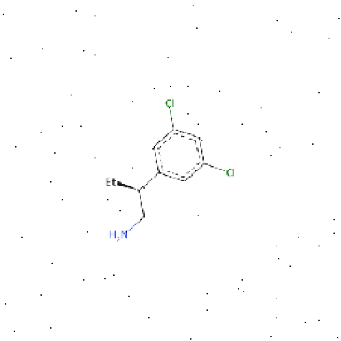 CC[C@H](CN)c1cc(Cl)cc(Cl)c1